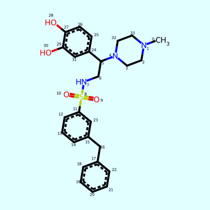 CN1CCN(C(CNS(=O)(=O)c2cccc(Cc3ccccc3)c2)c2ccc(O)c(O)c2)CC1